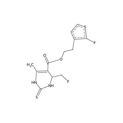 CC1=C(C(=O)OCCc2ccsc2F)C(CF)NC(=S)N1